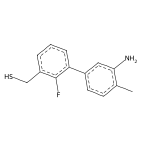 Cc1ccc(-c2cccc(CS)c2F)cc1N